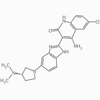 CN(C)[C@@H]1CCN(c2ccc3[nH]c(-c4c(N)c5cc(Cl)ccc5[nH]c4=O)nc3c2)C1